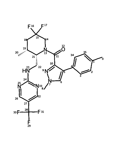 Cc1ccc(-c2cn(C)nc2C(=O)N2CC(F)(F)C[C@@H](C)[C@H]2CNc2ncc(C(F)(F)F)cn2)cc1